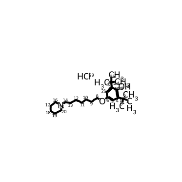 CC(C)(C)c1cc(OCCCCCCCN2CCCCC2)cc(C(C)(C)C)c1O.Cl